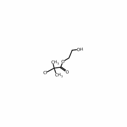 CC(C)(Cl)C(=O)OCCO